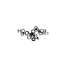 CC1(O)CN(C(=O)C2CCc3c(C4=CCC(C(=O)O)CC4)nn(C(=O)c4c(Cl)cccc4C4CC4)c3C2)C1